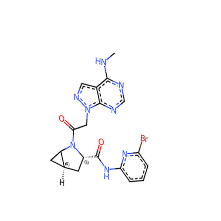 CNc1ncnc2c1cnn2CC(=O)N1C2C[C@@H]2C[C@H]1C(=O)Nc1cccc(Br)n1